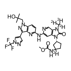 [2H]C1(NC(=O)OC)CC[C@@H](n2c(=O)n(C([2H])([2H])[2H])c3cnc(Nc4ccc5c(n4)c(-c4cnn(C(F)(F)F)c4)nn5CC(C)(C)O)cc32)C1